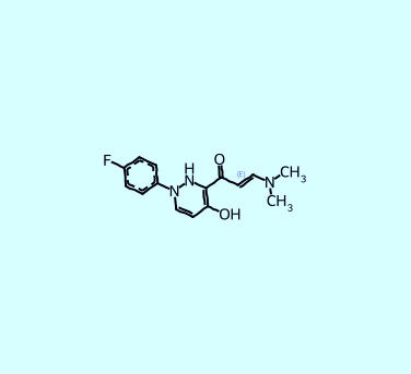 CN(C)/C=C/C(=O)C1=C(O)C=CN(c2ccc(F)cc2)N1